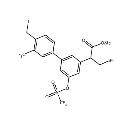 COC(=O)C(CC(C)C)c1cc(OS(=O)(=O)C(F)(F)F)cc(-c2ccc(CI)c(C(F)(F)F)c2)c1